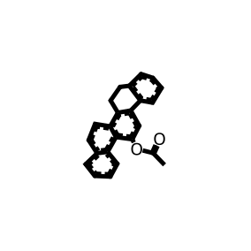 CC(=O)Oc1cc2c(c3ccc4ccccc4c13)CCc1ccccc1-2